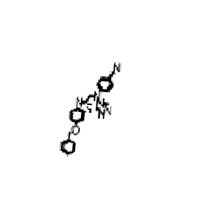 N#Cc1ccc(N(Cc2nc3ccc(OCc4ccccc4)cc3s2)n2cnnc2)cc1